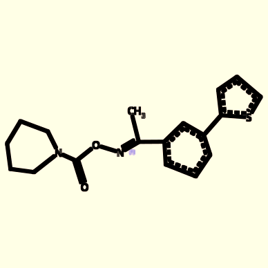 C/C(=N\OC(=O)N1CCCCC1)c1cccc(-c2cccs2)c1